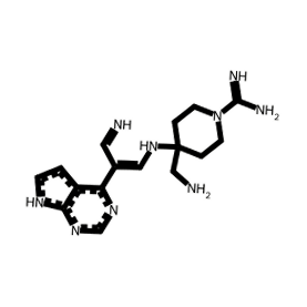 N=C/C(=C\NC1(CN)CCN(C(=N)N)CC1)c1ncnc2[nH]ccc12